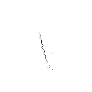 CCCCCCCCCCCCOS(=O)(=O)OS.[NaH]